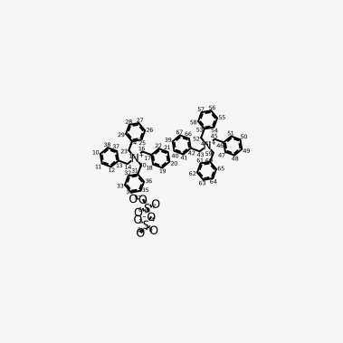 O=S(=O)([O-])OS(=O)(=O)O[O-].c1ccc(C[N+](Cc2ccccc2)(Cc2ccccc2)Cc2ccccc2)cc1.c1ccc(C[N+](Cc2ccccc2)(Cc2ccccc2)Cc2ccccc2)cc1